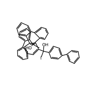 CC(O)(c1ccccc1-c1ccccc1)c1ccccc1-c1ccccc1-c1cccc(C(O)(I)c2ccc(-c3ccccc3)cc2)c1